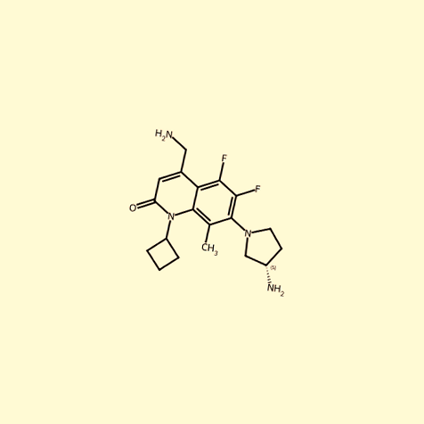 Cc1c(N2CC[C@H](N)C2)c(F)c(F)c2c(CN)cc(=O)n(C3CCC3)c12